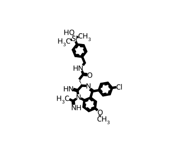 COc1ccc2c(c1)C(c1ccc(Cl)cc1)=N[C@@H](CC(=O)NCc1ccc([Si](C)(C)O)cc1)C(=N)N2C(C)=N